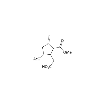 COC(=O)C1C(=O)CC(OC(C)=O)C1CC(=O)O